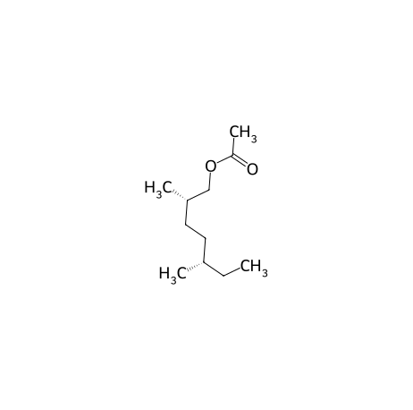 CC[C@H](C)CC[C@H](C)COC(C)=O